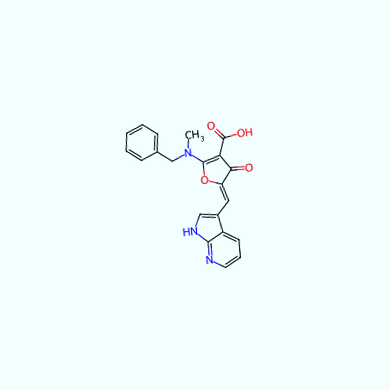 CN(Cc1ccccc1)C1=C(C(=O)O)C(=O)C(=Cc2c[nH]c3ncccc23)O1